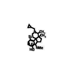 CCc1ccc(O)cc1C12CCN(CC3CC3)C(C)C1(C)CCC2C(C)NC